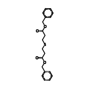 O=C(CCSCCC(=O)OCc1ccccc1)OCc1ccccc1